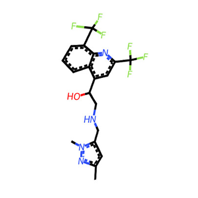 Cc1cc(CNCC(O)c2cc(C(F)(F)F)nc3c(C(F)(F)F)cccc23)n(C)n1